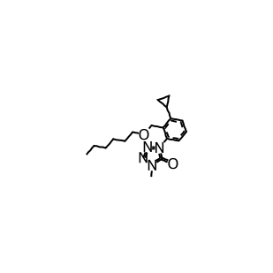 CCCCCCOCc1c(C2CC2)cccc1-n1nnn(C)c1=O